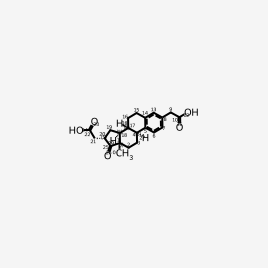 C[C@]12CC[C@@H]3c4ccc(CC(=O)O)cc4CC[C@H]3[C@@H]1C[C@@H](CC(=O)O)C2=O